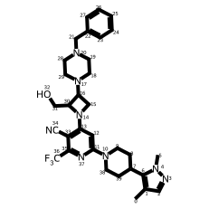 Cc1cnn(C)c1C1CCN(c2cc(N3CC(N4CCN(Cc5ccccc5)CC4)C3CO)c(C#N)c(C(F)(F)F)n2)CC1